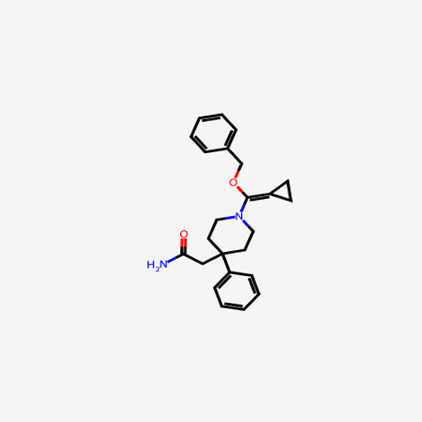 NC(=O)CC1(c2ccccc2)CCN(C(OCc2ccccc2)=C2CC2)CC1